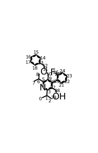 CC(C)c1nc(C(C)C)c(COCc2ccccc2)c(-c2ccccc2F)c1CO